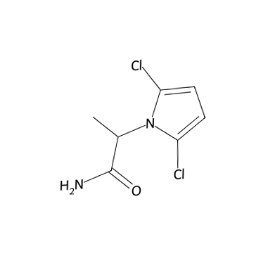 CC(C(N)=O)n1c(Cl)ccc1Cl